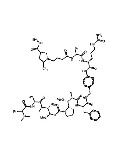 CCC(C)NC(=O)C1CC(C(F)(F)F)N(CCCC(=O)N[C@H](C(=O)N[C@@H](CCCNC(N)=O)C(=O)Nc2ccc(CNC(=O)[C@H](Cc3ccccc3)NC(=O)[C@H](C)[C@@H](OC)[C@@H]3CCCN3C(=O)C[C@@H](OC)[C@H]([C@@H](C)CC)N(C)C(=O)[C@@H](NC(=O)[C@H](C(C)C)N(C)C)C(C)C)cc2)C(C)C)C1